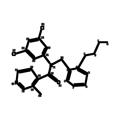 CCCCc1ccccc1CN(C(=O)c1ccncc1C)c1cc(Cl)cc(Cl)c1